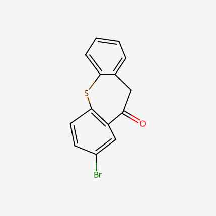 O=C1Cc2ccccc2Sc2ccc(Br)cc21